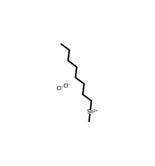 CCCCCCC[CH2][Sn+2][CH3].[Cl-].[Cl-]